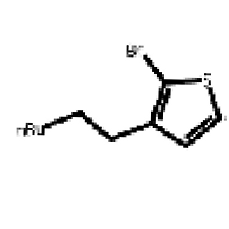 CCCCCCc1c[c]sc1Br